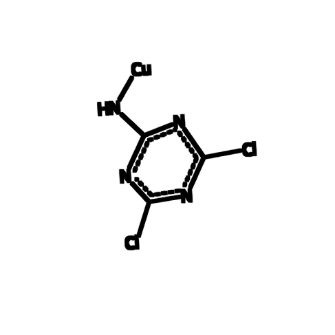 Clc1nc(Cl)nc([NH][Cu])n1